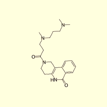 CN(C)CCCN(C)CCC(=O)N1CCc2[nH]c(=O)c3ccccc3c2C1